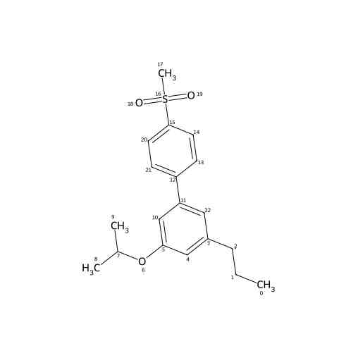 CC[CH]c1cc(OC(C)C)cc(-c2ccc(S(C)(=O)=O)cc2)c1